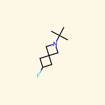 CC(C)(C)N1CC2(CC(F)C2)C1